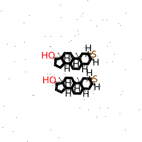 C[C@]12C[C@H]3S[C@H]3C[C@@H]1CC[C@@H]1[C@@H]2CC[C@]2(C)[C@@H](O)CC[C@@H]12.C[C@]12C[C@H]3S[C@H]3C[C@@H]1CC[C@@H]1[C@@H]2CC[C@]2(C)[C@@H](O)CC[C@@H]12